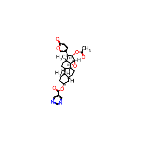 CC(=O)O[C@H]1[C@H]2O[C@]23[C@@H]2CC[C@@H]4C[C@@H](OC(=O)c5cncnc5)CC[C@]4(C)[C@H]2CC[C@]3(C)[C@H]1c1ccc(=O)oc1